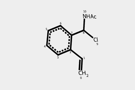 C=Cc1ccccc1C(Cl)NC(C)=O